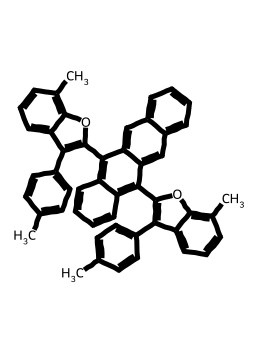 Cc1ccc(-c2c(-c3c4ccccc4c(-c4oc5c(C)cccc5c4-c4ccc(C)cc4)c4cc5ccccc5cc34)oc3c(C)cccc23)cc1